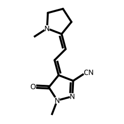 CN1N=C(C#N)/C(=C\C=C2\CCCN2C)C1=O